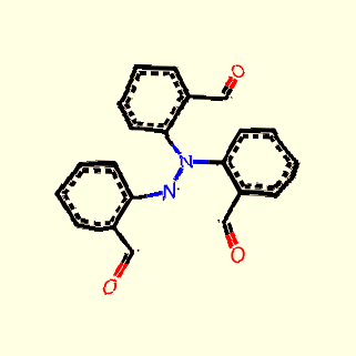 O=[C]c1ccccc1[N]N(c1ccccc1[C]=O)c1ccccc1[C]=O